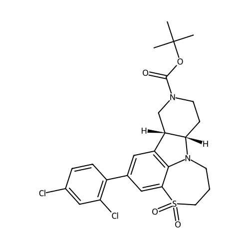 CC(C)(C)OC(=O)N1CC[C@H]2[C@@H](C1)c1cc(-c3ccc(Cl)cc3Cl)cc3c1N2CCCS3(=O)=O